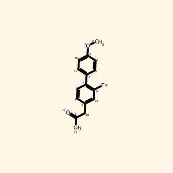 COc1ccc(-c2ccc(CC(=O)O)cc2F)cc1